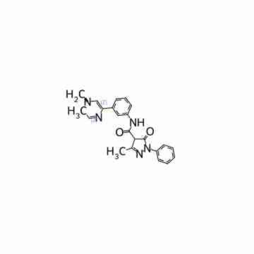 C=N/C=C(\N=C/C)c1cccc(NC(=O)C2C(=O)N(c3ccccc3)N=C2C)c1